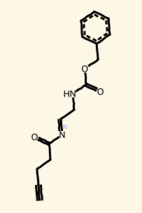 C#CCCC(=O)/N=C/CNC(=O)OCc1ccccc1